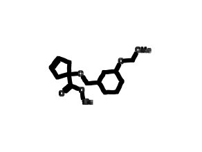 COCOC1CCCC(COC2(C(=O)OC(C)(C)C)CC=CC2)C1